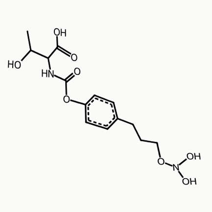 CC(O)C(NC(=O)Oc1ccc(CCCON(O)O)cc1)C(=O)O